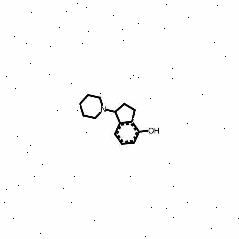 Oc1cccc2c1CCC2N1CCCCC1